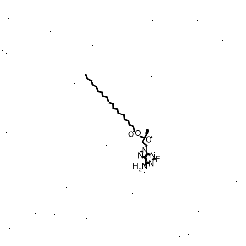 C#CC(CCn1cnc2c(N)nc(F)nc21)(COC(=O)CCCCCCCCCCCCCCCCCCC)OC